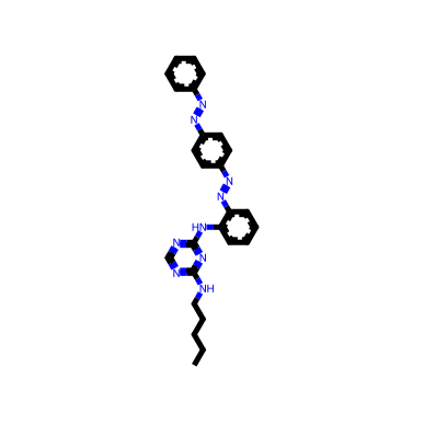 CCCCCNc1ncnc(Nc2ccccc2N=Nc2ccc(N=Nc3ccccc3)cc2)n1